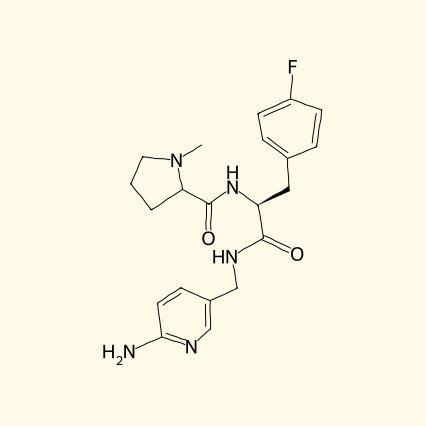 CN1CCCC1C(=O)N[C@@H](Cc1ccc(F)cc1)C(=O)NCc1ccc(N)nc1